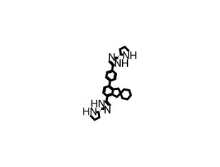 c1cc(-c2ccc(-c3cnc([C@@H]4CCCN4)[nH]3)c3c2CC2(CCCCC2)C3)ccc1-c1cnc([C@@H]2CCCN2)[nH]1